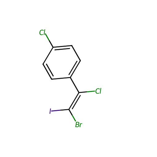 ClC(=C(Br)I)c1ccc(Cl)cc1